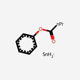 CCCC(=O)Oc1ccccc1.[SnH2]